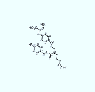 CCCOCCCN(CCOc1ccc(CC(OCC)C(=O)O)cc1)C(=O)OCc1ccc(F)cc1